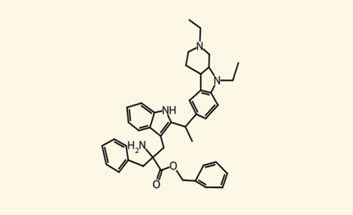 CCN1CCC2c3cc(C(C)c4[nH]c5ccccc5c4CC(N)(Cc4ccccc4)C(=O)OCc4ccccc4)ccc3N(CC)C2C1